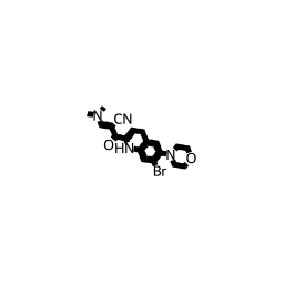 CN(C)/C=C(\C#N)C(=O)C1=CCc2cc(N3CCOCC3)c(Br)cc2N1